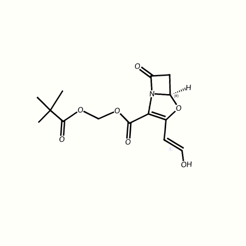 CC(C)(C)C(=O)OCOC(=O)C1=C(/C=C/O)O[C@@H]2CC(=O)N12